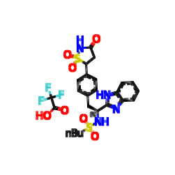 CCCCS(=O)(=O)N[C@@H](Cc1ccc(C2CC(=O)NS2(=O)=O)cc1)c1nc2ccccc2[nH]1.O=C(O)C(F)(F)F